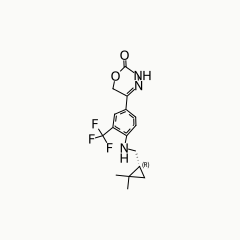 CC1(C)C[C@H]1CNc1ccc(C2=NNC(=O)OC2)cc1C(F)(F)F